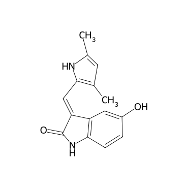 Cc1cc(C)c(C=C2C(=O)Nc3ccc(O)cc32)[nH]1